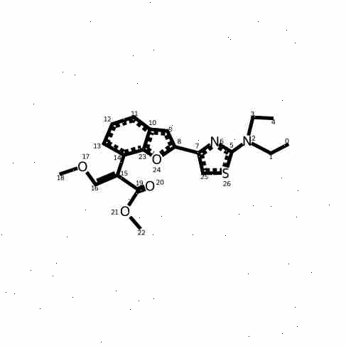 CCN(CC)c1nc(-c2cc3cccc(/C(=C\OC)C(=O)OC)c3o2)cs1